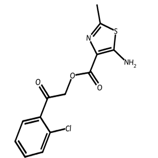 Cc1nc(C(=O)OCC(=O)c2ccccc2Cl)c(N)s1